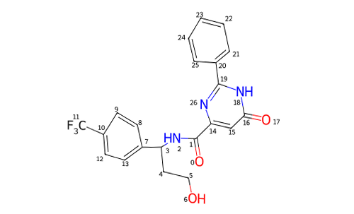 O=C(NC(CCO)c1ccc(C(F)(F)F)cc1)c1cc(=O)[nH]c(-c2ccccc2)n1